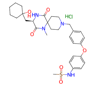 CN1C(=O)[C@@H](CC2(O)CCCCC2)NC(=O)C12CCN(Cc1ccc(Oc3ccc(NS(C)(=O)=O)cc3)cc1)CC2.Cl